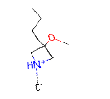 [CH2-][NH+]1CC(CCC)(OC)C1